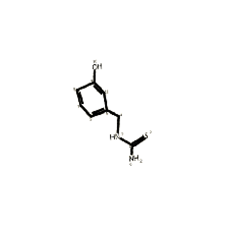 NC(=S)NCc1cccc(O)c1